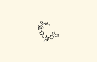 Cc1nn(-c2ccc(C#N)c(Cl)c2)c(C)c1Cc1ccc(-c2nnc(C(N)=O)o2)cc1